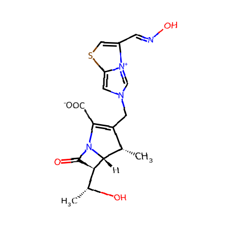 C[C@@H](O)[C@H]1C(=O)N2C(C(=O)[O-])=C(Cn3cc4scc(C=NO)[n+]4c3)[C@H](C)[C@H]12